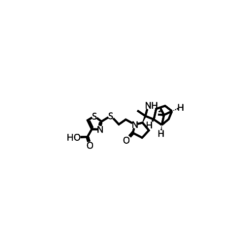 CC1(C)[C@H]2CC[C@@H](C(C)(N)[C@H]3CCC(=O)N3CCSc3nc(C(=O)O)cs3)[C@@H]1C2